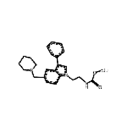 CC(C)(C)OC(=O)NCCn1cc(-c2ccccc2)c2cc(CN3CCCCC3)ccc21